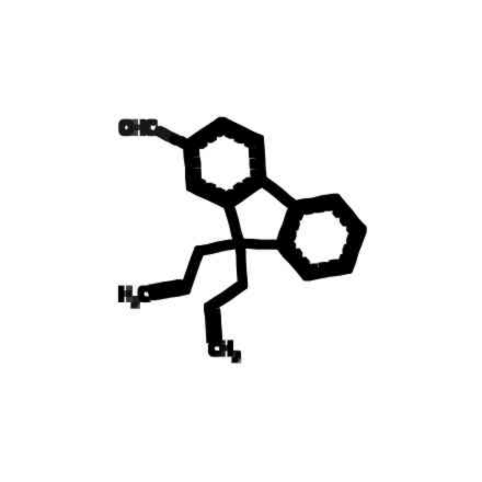 C=CCC1(CC=C)c2ccccc2-c2ccc(C=O)cc21